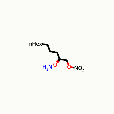 CCCCCCCCCC(=O)CO[N+](=O)[O-].N